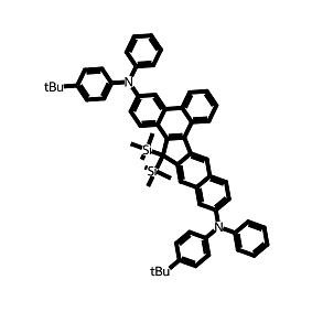 CC(C)(C)c1ccc(N(c2ccccc2)c2ccc3cc4c(cc3c2)C([Si](C)(C)C)([Si](C)(C)C)c2c-4c3ccccc3c3cc(N(c4ccccc4)c4ccc(C(C)(C)C)cc4)ccc23)cc1